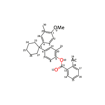 COc1ccc(C2(c3ccc(OC(=O)c4ccccc4C(C)=O)c(C)c3)CCCCC2)cc1C